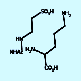 CC(=O)NNCCS(=O)(=O)O.NCCCC(N)C(=O)O